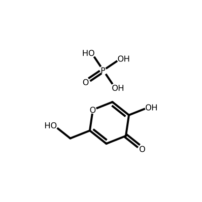 O=P(O)(O)O.O=c1cc(CO)occ1O